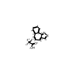 O=C(O)C(F)(F)F.c1ccc2c3nncc-3cccc2c1